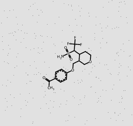 CC(=O)c1ccc(OCC2COCCC2C(C(F)(F)F)S(N)(=O)=O)cc1